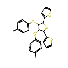 Cc1ccc(SC2C(c3cccs3)SC(c3cccs3)C2Sc2ccc(C)cc2)cc1